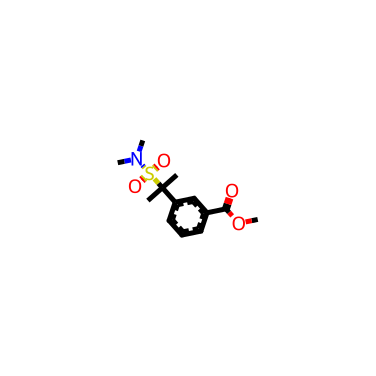 COC(=O)c1cccc(C(C)(C)S(=O)(=O)N(C)C)c1